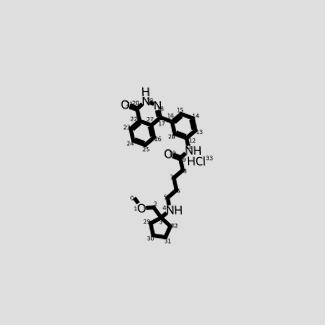 COCC1(NCCCCC(=O)Nc2cccc(-c3n[nH]c(=O)c4ccccc34)c2)CCCC1.Cl